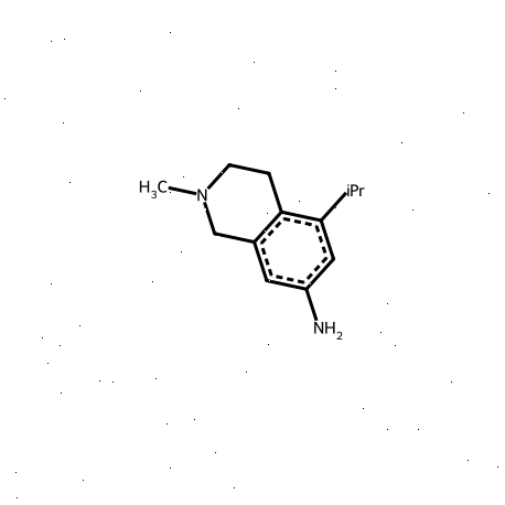 CC(C)c1cc(N)cc2c1CCN(C)C2